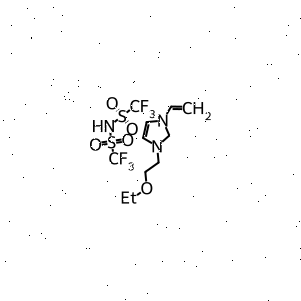 C=CN1C=CN(CCOCC)C1.O=S(=O)(NS(=O)(=O)C(F)(F)F)C(F)(F)F